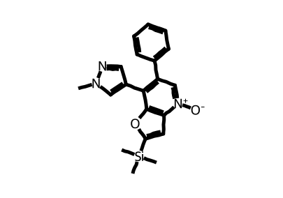 Cn1cc(-c2c(-c3ccccc3)c[n+]([O-])c3cc([Si](C)(C)C)oc23)cn1